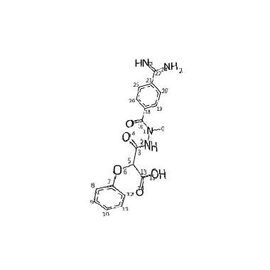 CN(NC(=O)C(Oc1ccccc1)C(=O)O)C(=O)c1ccc(C(=N)N)cc1